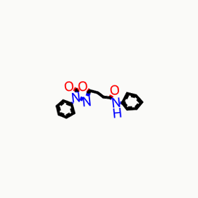 O=C(CCc1nn(-c2ccccc2)c(=O)o1)Nc1ccccc1